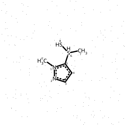 Cn1nccc1[SH](C)S